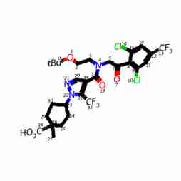 CC(C)(C)OCCN(CC(=O)c1c(Cl)cc(C(F)(F)F)cc1Cl)C(=O)c1cnn(C2CCC(C)(C(=O)O)CC2)c1C(F)(F)F